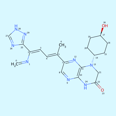 C=N/C(=C\C=C(/C)c1cnc2c(n1)N([C@H]1CC[C@H](O)CC1)CC(=O)N2)c1nc[nH]n1